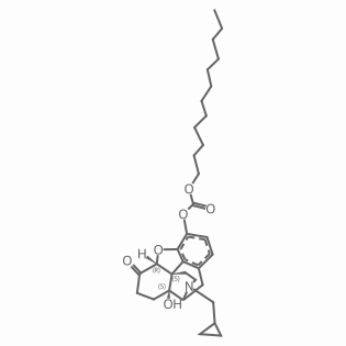 CCCCCCCCCCCCOC(=O)Oc1ccc2c3c1O[C@H]1C(=O)CC[C@@]4(O)C(C2)N(CC2CC2)CC[C@]314